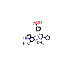 COc1cc(C)c2[nH]ccc2c1CN1CCC(C2CCCC2)C[C@H]1c1ccc(C(=O)O)cc1